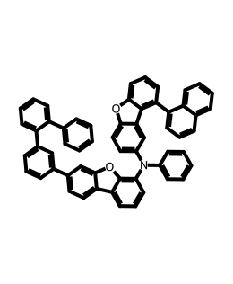 c1ccc(-c2ccccc2-c2cccc(-c3ccc4c(c3)oc3c(N(c5ccccc5)c5ccc6oc7cccc(-c8cccc9ccccc89)c7c6c5)cccc34)c2)cc1